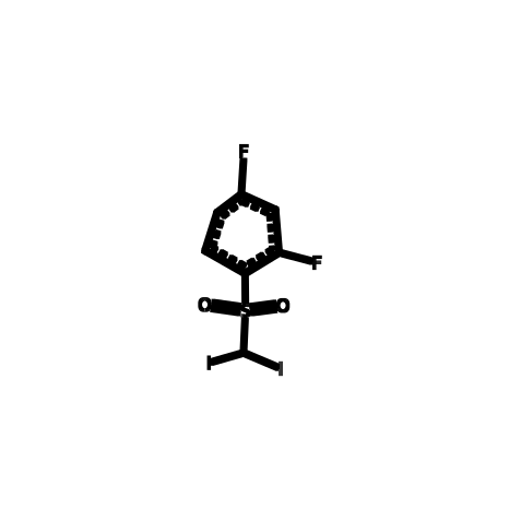 O=S(=O)(c1ccc(F)cc1F)C(I)I